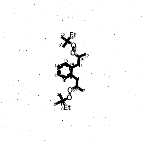 CCC(C)(C)OOC(C)Cc1ccccc1CC(C)OOC(C)(C)CC